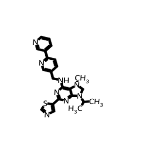 CC(C)N1CN(C)c2c(NCc3ccc(-c4cccnc4)nc3)nc(-c3cncs3)nc21